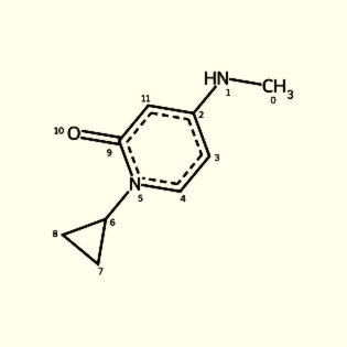 CNc1ccn(C2CC2)c(=O)c1